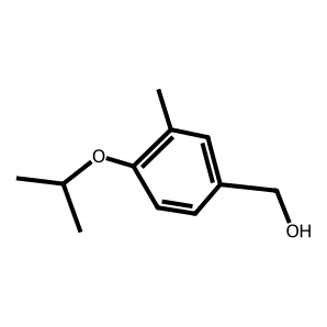 Cc1cc(CO)ccc1OC(C)C